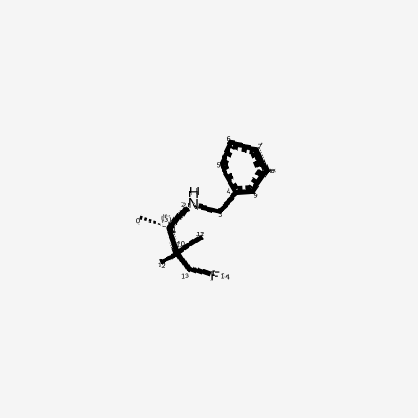 C[C@H](NCc1ccccc1)C(C)(C)CF